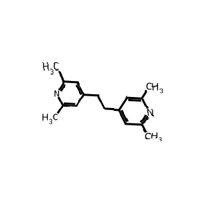 Cc1cc(CCc2cc(C)nc(C)c2)cc(C)n1